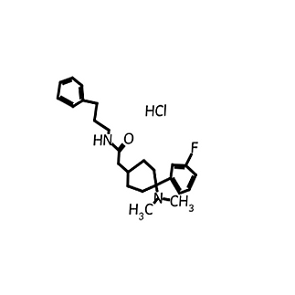 CN(C)C1(c2cccc(F)c2)CCC(CC(=O)NCCCc2ccccc2)CC1.Cl